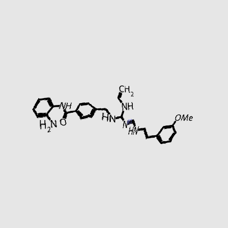 C=CNC(/N=C/NCCc1cccc(OC)c1)NCc1ccc(C(=O)Nc2ccccc2N)cc1